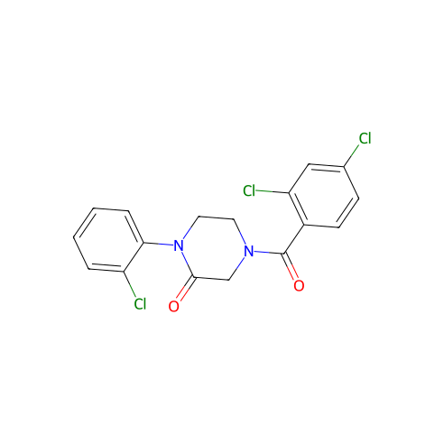 O=C(c1ccc(Cl)cc1Cl)N1CCN(c2ccccc2Cl)C(=O)C1